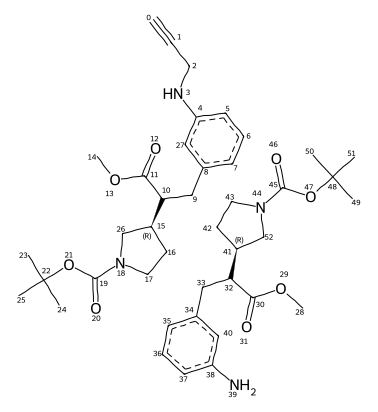 C#CCNc1cccc(CC(C(=O)OC)[C@H]2CCN(C(=O)OC(C)(C)C)C2)c1.COC(=O)C(Cc1cccc(N)c1)[C@H]1CCN(C(=O)OC(C)(C)C)C1